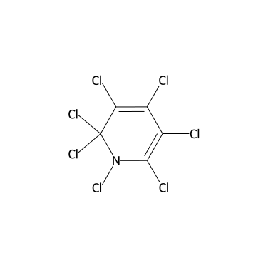 ClC1=C(Cl)N(Cl)C(Cl)(Cl)C(Cl)=C1Cl